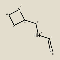 O=CNCC1CCS1